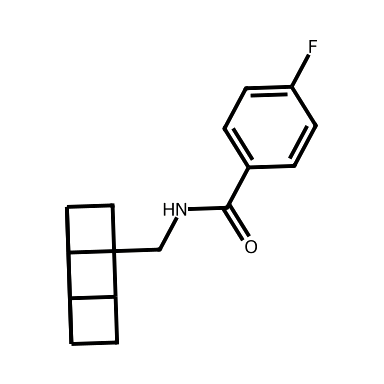 O=C(NCC12CC3C4CC1C4C32)c1ccc(F)cc1